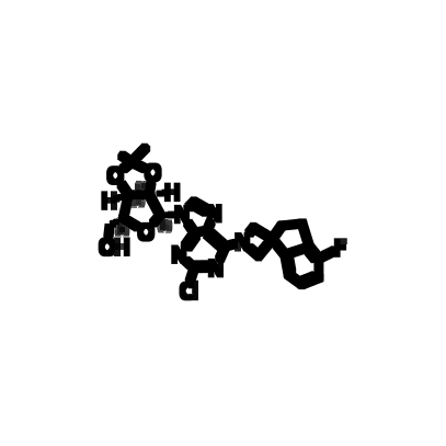 CC1(C)O[C@@H]2[C@H](O1)[C@@H](CO)O[C@H]2n1cnc2c(N3CC4(CCc5c(F)cccc54)C3)nc(Cl)nc21